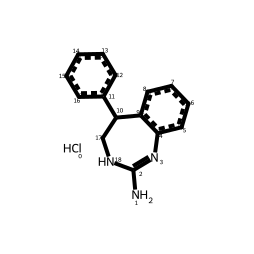 Cl.NC1=Nc2ccccc2C(c2ccccc2)CN1